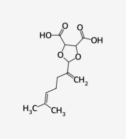 C=C(CCC=C(C)C)C1OC(C(=O)O)C(C(=O)O)O1